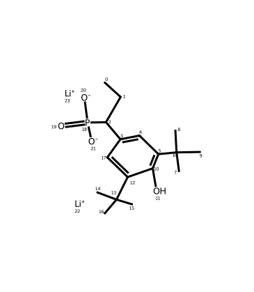 CCC(c1cc(C(C)(C)C)c(O)c(C(C)(C)C)c1)P(=O)([O-])[O-].[Li+].[Li+]